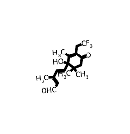 CC(C=CC1(O)C(C)=C(CC(F)(F)F)C(=O)CC1(C)C)=CC=O